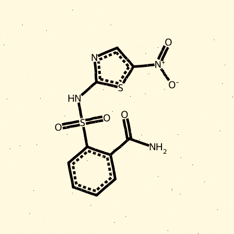 NC(=O)c1ccccc1S(=O)(=O)Nc1ncc([N+](=O)[O-])s1